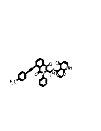 C[C@H](Nc1ncnc2[nH]ccc(=O)c12)c1c(Cl)c2cccc(C#Cc3ccc(C(F)(F)F)cc3)c2c(=O)n1-c1ccccc1